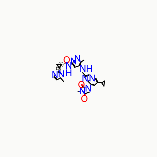 Cc1ccnc([C@H]2C[C@@H]2C(=O)Nc2cc(NCc3cn4cc(C5CC5)cc(N5CC(=O)N(C)C5=O)c4n3)c(C)nn2)n1